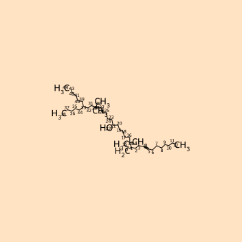 C=C(CCC#CCCCCCCC)C(C)(C)CCCCCC(O)CCCCCC(C)(C)CCC(CCCCC)CCCCCC